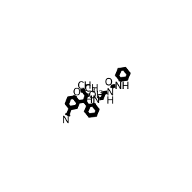 CC1(C)Oc2ccc(C#N)cc2C(c2ccccc2NCCNC(=O)Nc2ccccc2)C1O